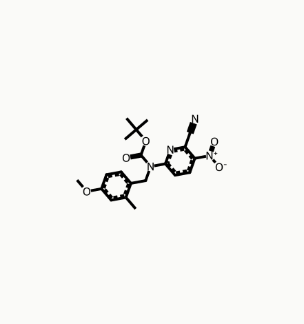 COc1ccc(CN(C(=O)OC(C)(C)C)c2ccc([N+](=O)[O-])c(C#N)n2)c(C)c1